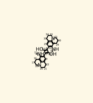 CNc1c(C2=C(O)C(c3cc4c5c(c3NC)CCCN5CCC4)=C2O)cc2c3c1CCCN3CCC2